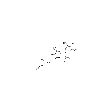 CCCCCCCCCC(CC(C)CCCCC)C(C(=O)O)c1cc(O)c(O)c(O)c1